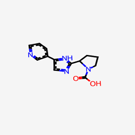 O=C(O)N1CCCC1c1ncc(-c2cccnc2)[nH]1